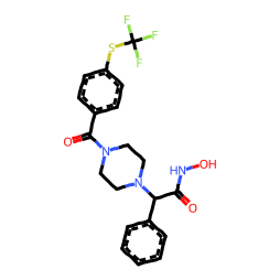 O=C(NO)C(c1ccccc1)N1CCN(C(=O)c2ccc(SC(F)(F)F)cc2)CC1